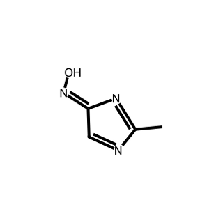 CC1=NC(=NO)C=N1